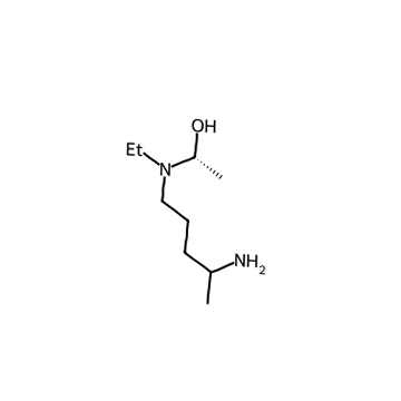 CCN(CCCC(C)N)[C@@H](C)O